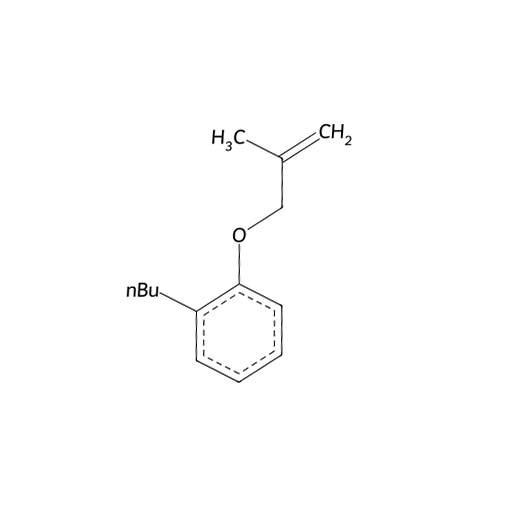 C=C(C)COc1ccccc1CCCC